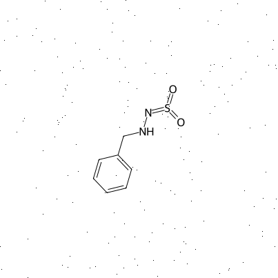 O=S(=O)=NNCc1ccccc1